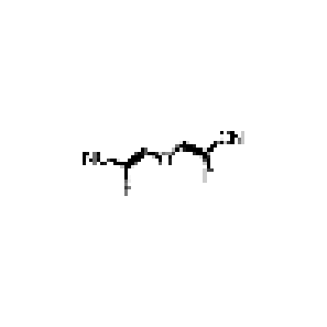 N#CC(F)=COC=C(F)C#N